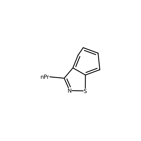 CCCc1nsc2ccccc12